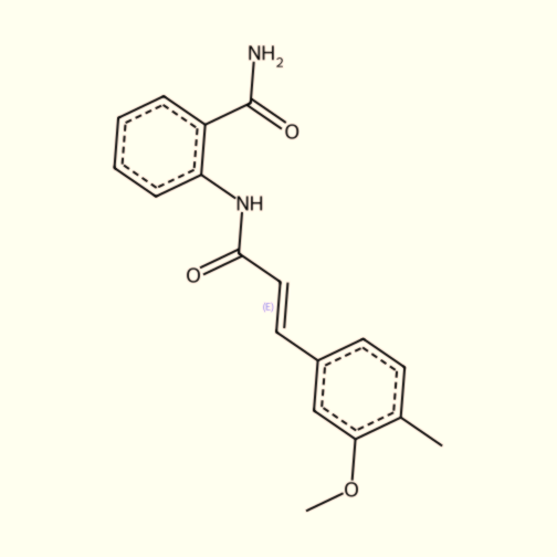 COc1cc(/C=C/C(=O)Nc2ccccc2C(N)=O)ccc1C